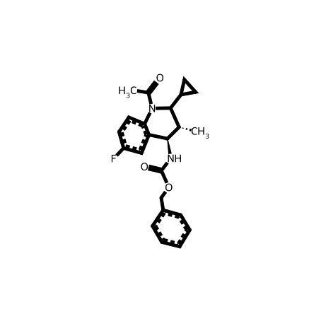 CC(=O)N1c2ccc(F)cc2[C@H](NC(=O)OCc2ccccc2)[C@@H](C)C1C1CC1